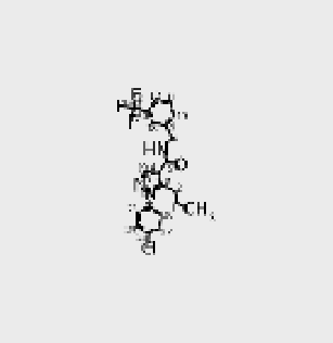 CCCc1c(C(=O)NCc2cccc(C(F)(F)F)c2)cnn1-c1ccc(Cl)cc1